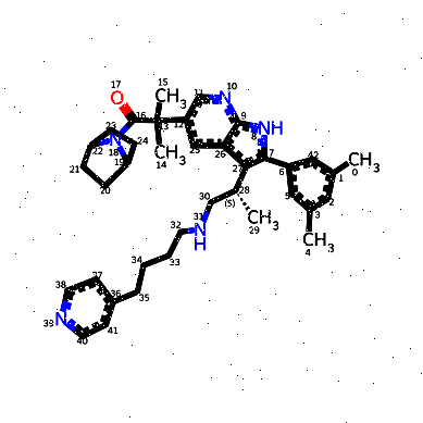 Cc1cc(C)cc(-c2[nH]c3ncc(C(C)(C)C(=O)N4C5CCC4CC5)cc3c2[C@H](C)CNCCCCc2ccncc2)c1